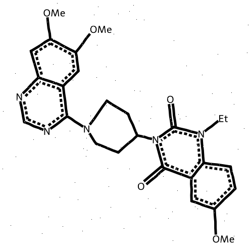 CCn1c(=O)n(C2CCN(c3ncnc4cc(OC)c(OC)cc34)CC2)c(=O)c2cc(OC)ccc21